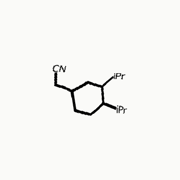 CC(C)C1CCC(CC#N)CC1C(C)C